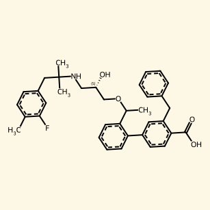 Cc1ccc(CC(C)(C)NC[C@H](O)COC(C)c2ccccc2-c2ccc(C(=O)O)c(Cc3ccccc3)c2)cc1F